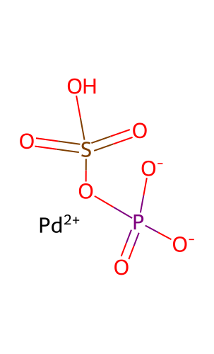 O=P([O-])([O-])OS(=O)(=O)O.[Pd+2]